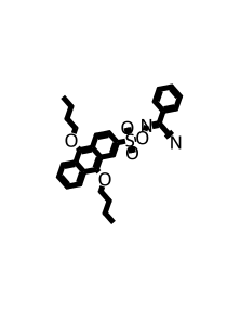 CCCCOc1c2ccccc2c(OCCCC)c2cc(S(=O)(=O)ON=C(C#N)c3ccccc3)ccc12